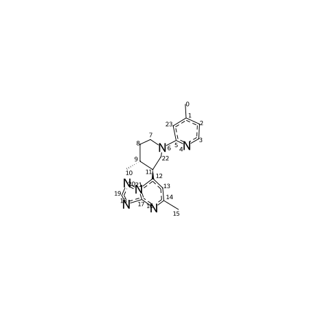 Cc1ccnc(N2CC[C@@H](C)[C@H](c3cc(C)nc4ncnn34)C2)c1